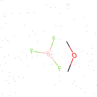 COC.FB(F)F